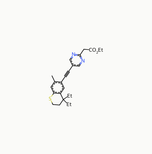 CCOC(=O)Cc1ncc(C#Cc2cc3c(cc2C)SCCC3(CC)CC)cn1